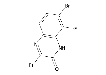 CCc1nc2ccc(Br)c(F)c2[nH]c1=O